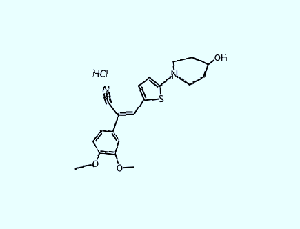 COc1ccc(C(C#N)=Cc2ccc(N3CCC(O)CC3)s2)cc1OC.Cl